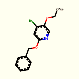 COCOc1cnc(OCc2ccccc2)cc1Br